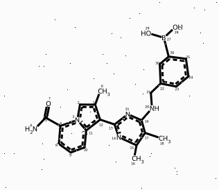 Cc1cn2c(C(N)=O)cccc2c1-c1nc(C)c(C)c(NCc2cccc(B(O)O)c2)n1